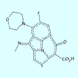 CN=c1c2c(N3CCOCC3)c(F)cc3c(=O)c(C(=O)O)c4scc1n4c32